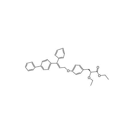 CCOC(=O)[C@H](Cc1ccc(OC/C=C(\c2ccccc2)c2ccc(-c3ccccc3)cc2)cc1)OCC